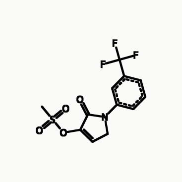 CS(=O)(=O)OC1=CCN(c2cccc(C(F)(F)F)c2)C1=O